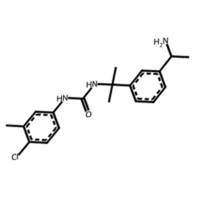 Cc1cc(NC(=O)NC(C)(C)c2cccc(C(C)N)c2)ccc1Cl